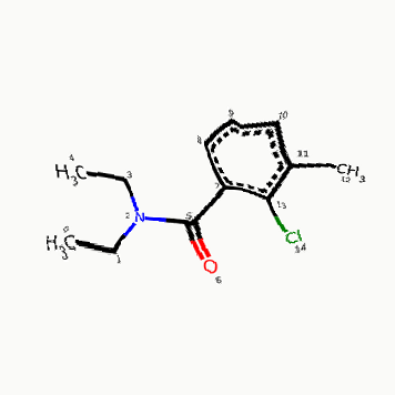 CCN(CC)C(=O)c1cccc(C)c1Cl